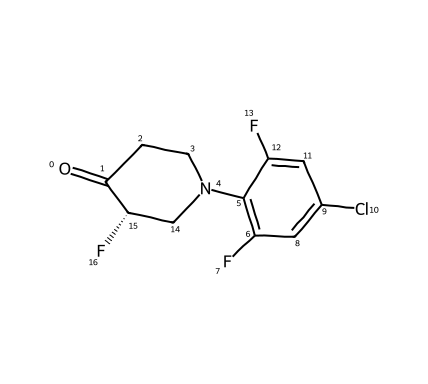 O=C1CCN(c2c(F)cc(Cl)cc2F)C[C@@H]1F